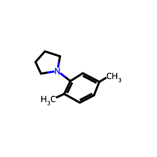 Cc1ccc(C)c(N2CCCC2)c1